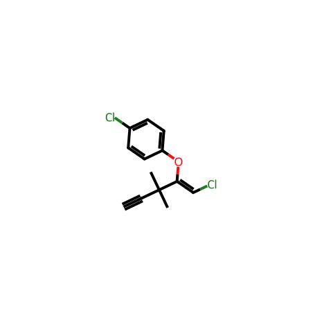 C#CC(C)(C)/C(=C/Cl)Oc1ccc(Cl)cc1